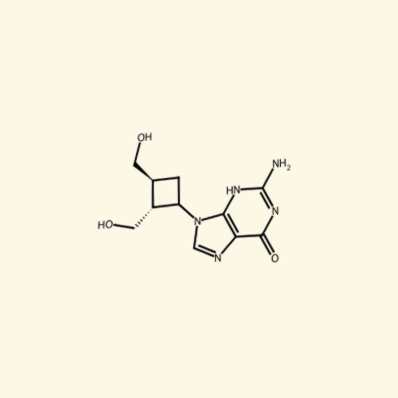 Nc1nc(=O)c2ncn(C3C[C@H](CO)[C@H]3CO)c2[nH]1